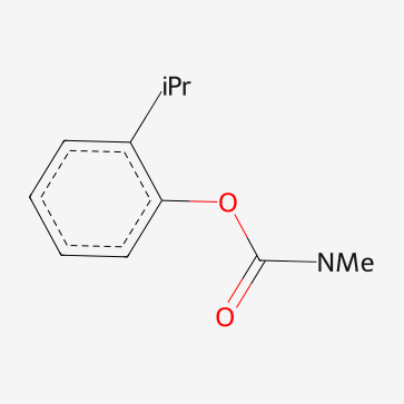 CNC(=O)Oc1ccccc1C(C)C